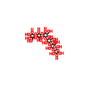 OCC1O[C@@H](O)C(O)[C@@H](O)[C@@H]1O[C@@H]1OC(CO)[C@H](O)[C@H](O[C@@H]2CC(CO)[C@H](O)[C@H](O[C@@H]3CC(CO)[C@H](O)[C@H](O[C@@H]4CC(CO)[C@H](O)[C@H](O[C@@H]5CC(CO)[C@H](O)[C@H](O)C5O)C4O)C3O)C2O)C1O